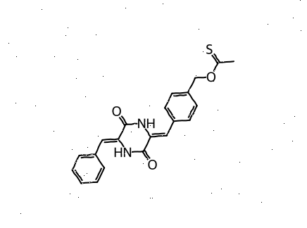 CC(=S)OCc1ccc(C=c2[nH]c(=O)c(=Cc3ccccc3)[nH]c2=O)cc1